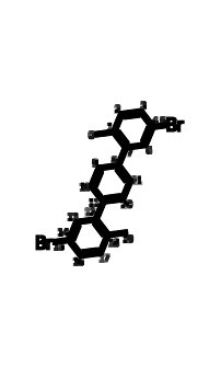 Cc1ccc(Br)cc1-c1ccc(-c2cc(Br)ccc2C)cc1